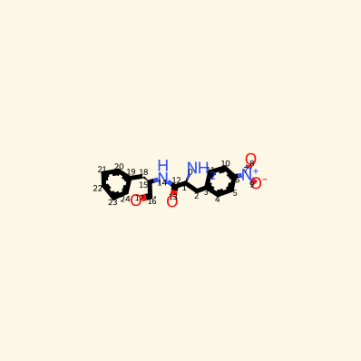 N[C@@H](Cc1ccc([N+](=O)[O-])cc1)C(=O)N[C@H]([C]=O)Cc1ccccc1